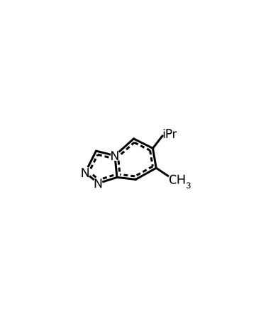 Cc1cc2nncn2cc1C(C)C